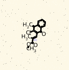 C=C1C(Cl)=C(/C=C(\C)C(=O)OC)C(=O)c2ccccc21